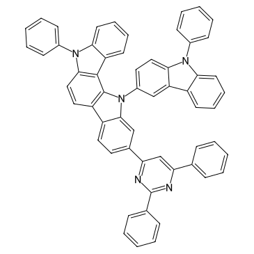 c1ccc(-c2cc(-c3ccc4c5ccc6c(c7ccccc7n6-c6ccccc6)c5n(-c5ccc6c(c5)c5ccccc5n6-c5ccccc5)c4c3)nc(-c3ccccc3)n2)cc1